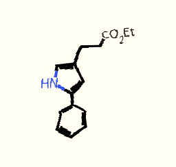 CCOC(=O)CCc1c[nH]c(-c2ccccc2)c1